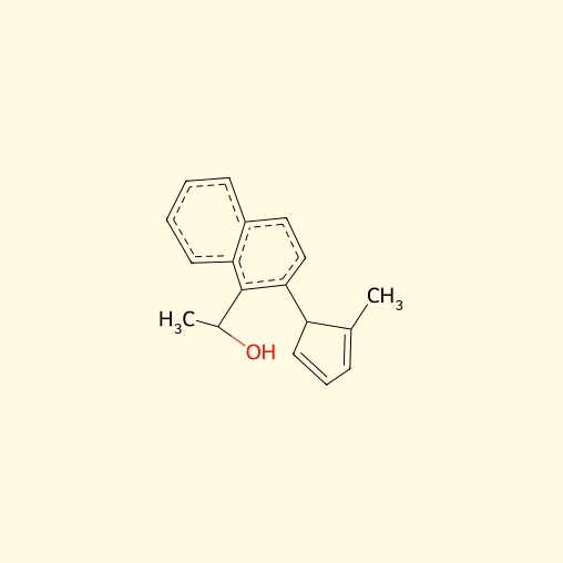 CC1=CC=CC1c1ccc2ccccc2c1C(C)O